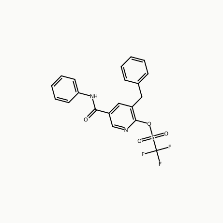 O=C(Nc1ccccc1)c1cnc(OS(=O)(=O)C(F)(F)F)c(Cc2ccccc2)c1